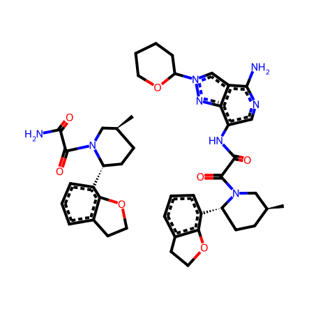 C[C@H]1CC[C@H](c2cccc3c2OCC3)N(C(=O)C(=O)Nc2cnc(N)c3cn(C4CCCCO4)nc23)C1.C[C@H]1CC[C@H](c2cccc3c2OCC3)N(C(=O)C(N)=O)C1